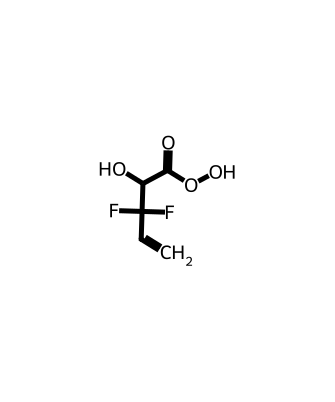 C=CC(F)(F)C(O)C(=O)OO